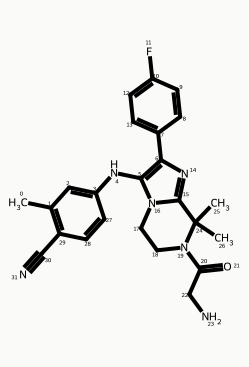 Cc1cc(Nc2c(-c3ccc(F)cc3)nc3n2CCN(C(=O)CN)C3(C)C)ccc1C#N